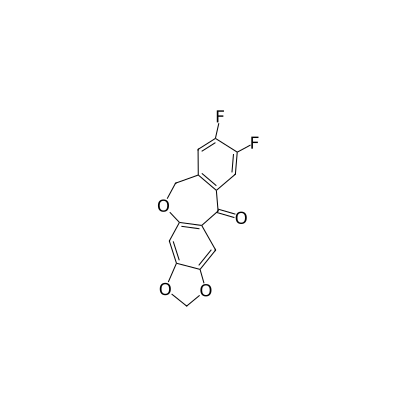 O=C1c2cc(F)c(F)cc2COc2cc3c(cc21)OCO3